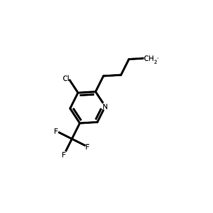 [CH2]CCCc1ncc(C(F)(F)F)cc1Cl